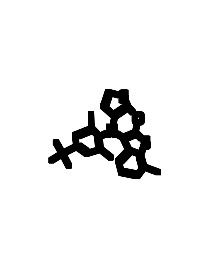 Cc1cc(C(C)(C)C)cc(C)c1N1c2ccsc2Oc2sc3c(C)cccc3c21